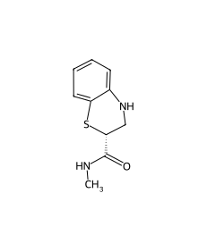 CNC(=O)[C@H]1CNc2ccccc2S1